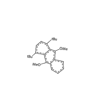 COc1c2ccccc2c(OC)c2c(C(C)(C)C)ccc(C(C)(C)C)c12